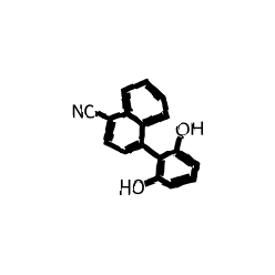 N#Cc1ccc(-c2c(O)cccc2O)c2ccccc12